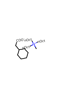 CCCCCCCC[N+](C)(CCCCCCCC)CCCCCCCC.O=C([O-])CC1CCCCC1